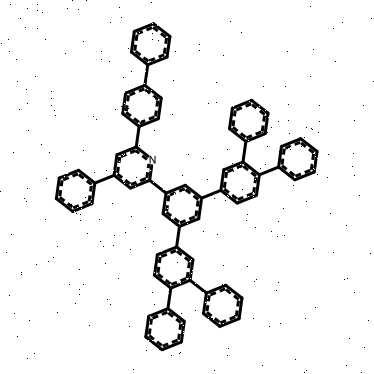 c1ccc(-c2ccc(-c3cc(-c4ccccc4)cc(-c4cc(-c5ccc(-c6ccccc6)c(-c6ccccc6)c5)cc(-c5ccc(-c6ccccc6)c(-c6ccccc6)c5)c4)n3)cc2)cc1